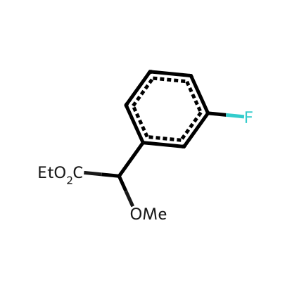 CCOC(=O)C(OC)c1cccc(F)c1